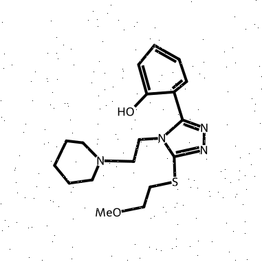 COCCSc1nnc(-c2ccccc2O)n1CCN1CCCCC1